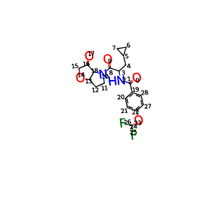 O=C(NC(CC1CC1)C(=O)N1CCC2OCC(=O)C21)c1ccc(OC(F)F)cc1